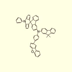 CC1(C)c2ccccc2-c2ccc(N(c3ccc(-c4ccc5oc6ccccc6c5c4)cc3)c3ccc4c(c3)-c3ccccc3C43c4ccccc4N(c4ccccc4)c4ccccc43)cc21